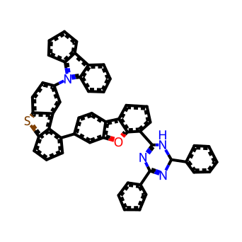 c1ccc(C2=NC(c3ccccc3)NC(c3cccc4c3oc3cc(-c5cccc6sc7ccc(-n8c9ccccc9c9ccccc98)cc7c56)ccc34)=N2)cc1